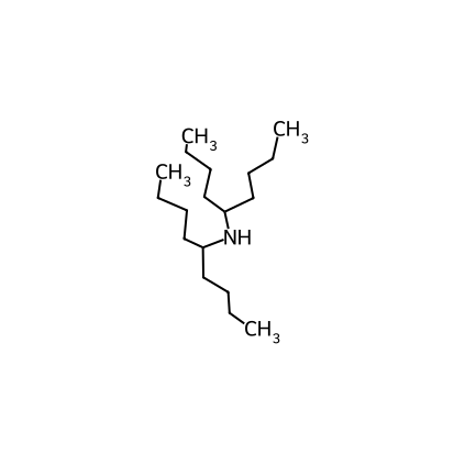 CCCCC(CCCC)NC(CCCC)CCCC